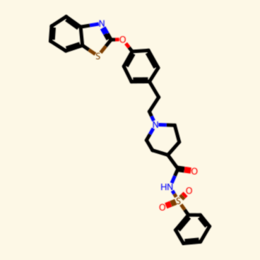 O=C(NS(=O)(=O)c1ccccc1)C1CCN(CCc2ccc(Oc3nc4ccccc4s3)cc2)CC1